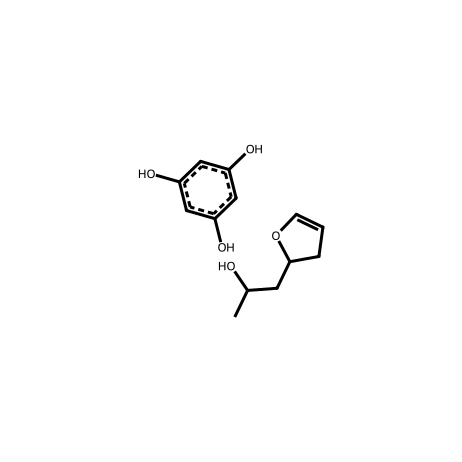 CC(O)CC1CC=CO1.Oc1cc(O)cc(O)c1